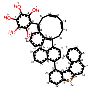 Oc1c(O)c(O)c(/C2=c3\cccc\c3=C(/c3ccc(-c4cccc5sc6ccc7ccccc7c6c45)c4ccccc34)C/C=C\C=C/C2)c(O)c1O